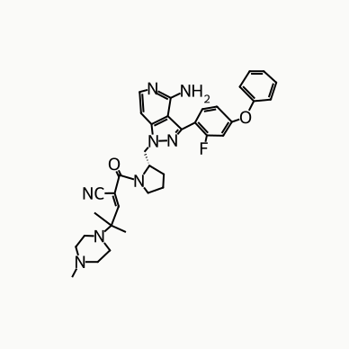 CN1CCN(C(C)(C)C=C(C#N)C(=O)N2CCC[C@H]2Cn2nc(-c3ccc(Oc4ccccc4)cc3F)c3c(N)nccc32)CC1